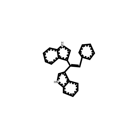 C(=C(c1c[nH]c2ccccc12)c1c[nH]c2ccccc12)c1ccccc1